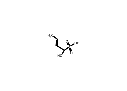 C/C=C/C(O)S(=O)(=O)O